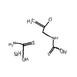 C=C(Cl)CNC(O)=S.NC(O)=S.[NaH]